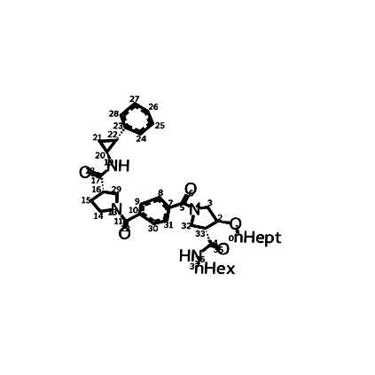 CCCCCCCO[C@@H]1CN(C(=O)c2ccc(C(=O)N3CC[C@H](C(=O)N[C@H]4C[C@@H]4c4ccccc4)C3)cc2)C[C@H]1C(=O)NCCCCCC